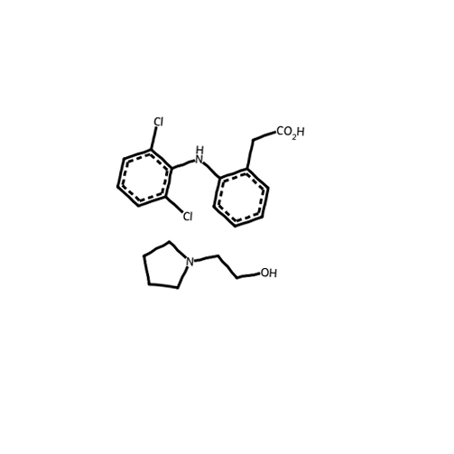 O=C(O)Cc1ccccc1Nc1c(Cl)cccc1Cl.OCCN1CCCC1